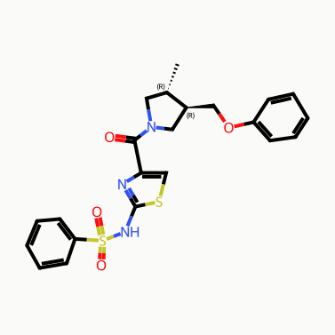 C[C@H]1CN(C(=O)c2csc(NS(=O)(=O)c3ccccc3)n2)C[C@@H]1COc1ccccc1